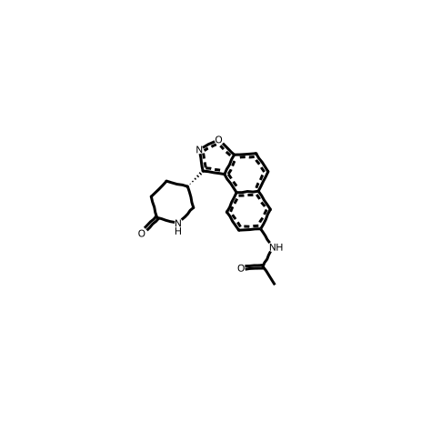 CC(=O)Nc1ccc2c(ccc3onc([C@H]4CCC(=O)NC4)c32)c1